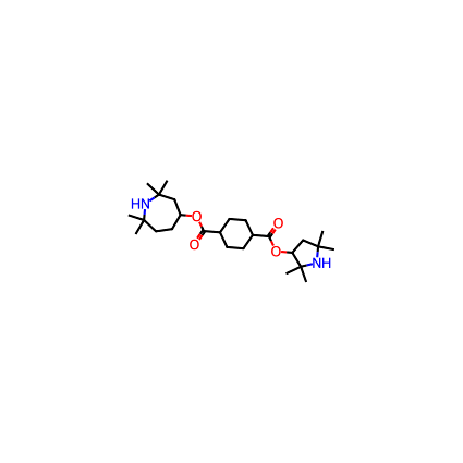 CC1(C)CCC(OC(=O)C2CCC(C(=O)OC3CC(C)(C)NC3(C)C)CC2)CC(C)(C)N1